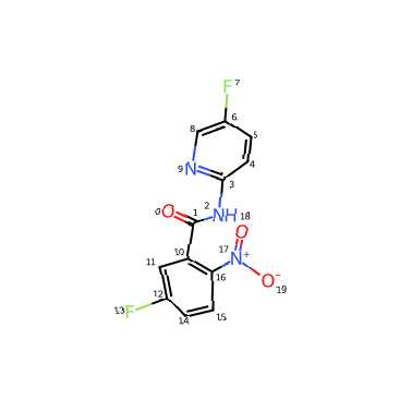 O=C(Nc1ccc(F)cn1)c1cc(F)ccc1[N+](=O)[O-]